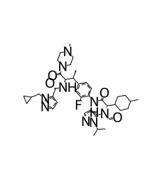 CC1CCC([C@@H](C(=O)Nc2ccc([C@H](C)[C@@H](NC(=O)c3ccnn3CC3CC3)C(=O)N3CCN(C)CC3)cc2F)N(C=O)c2ccnn2C(C)C)CC1